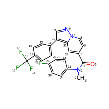 CN(C(=O)c1ccn2ncc(-c3ccc(C(F)(F)F)cc3)c2c1)c1ccc(F)cc1